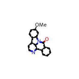 COc1ccc2c3ccnc4c5ccccc5c(=O)n(c2c1)c34